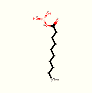 CCCCCCCCCCCCCCCCCC(=O)OB(O)O